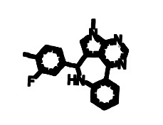 Cc1ccc(C2Nc3ccccc3-c3ncnc4c3c2cn4C)cc1F